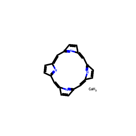 C1=CC2=NC1=CC1=NC(=CC3=NC(=CC4=NC(=C2)C=C4)C=C3)C=C1.[GaH3]